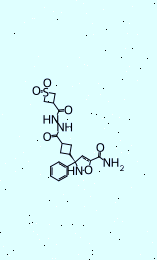 NC(=O)C1=C[C@](c2ccccc2)(C2CC(C(=O)NNC(=O)C3CS(=O)(=O)C3)C2)NO1